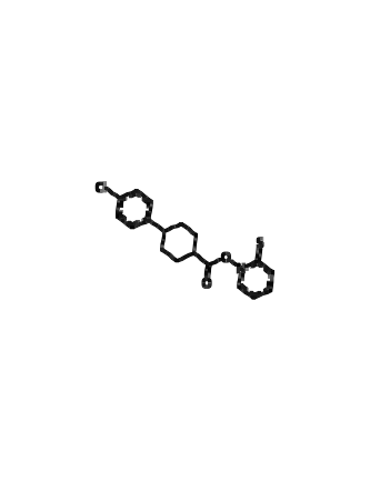 O=C(On1ccccc1=S)C1CCC(c2ccc(Cl)cc2)CC1